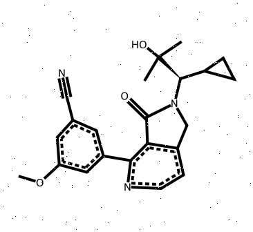 COc1cc(C#N)cc(-c2nccc3c2C(=O)N([C@H](C2CC2)C(C)(C)O)C3)c1